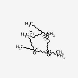 CCCCCCCCC(CCCCCC)C(=O)OCCCCCC1(CCCCCOC(=O)CN(C)C(=O)CC(CCCCCCC)CCCCCCC)OCC(CCN(C)C)O1